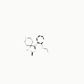 CC(C)CNc1ncccc1C1=NC(=O)N(C)C12CCNCC2